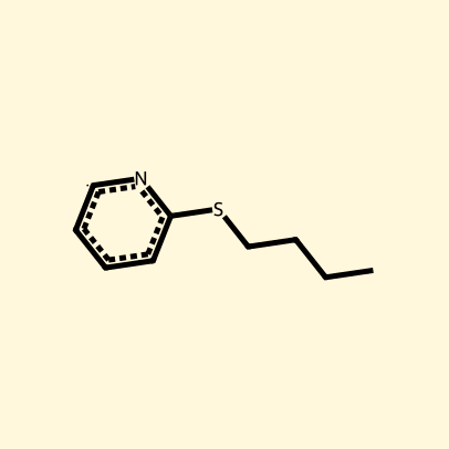 CCCCSc1ccc[c]n1